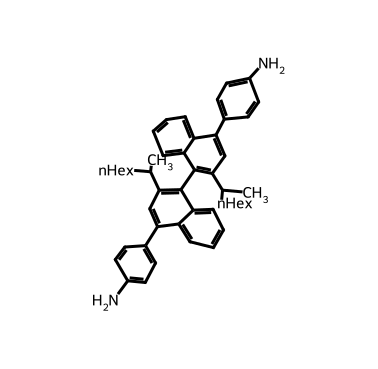 CCCCCCC(C)c1cc(-c2ccc(N)cc2)c2ccccc2c1-c1c(C(C)CCCCCC)cc(-c2ccc(N)cc2)c2ccccc12